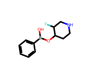 OB(OC1CCNCC1F)c1ccccc1